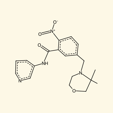 CC1(C)COCCN1Cc1ccc([N+](=O)[O-])c(C(=O)Nc2cccnc2)c1